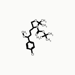 COC(CCC1COC(C)(C)N1C(=O)OC(C)(C)C)c1ccc(Cl)cc1